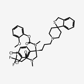 COc1ccccc1OC(=O)N(C)[C@](CCCN1CCC2(CC1)SCc1ccccc12)(CN(C)C(=O)CC(F)(F)F)c1ccc(Cl)c(Cl)c1